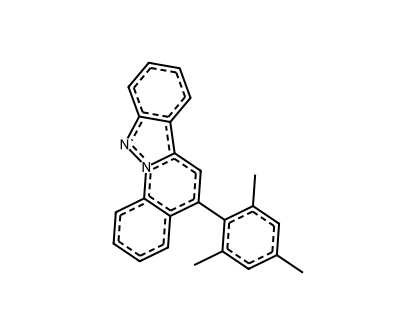 Cc1cc(C)c(-c2cc3c4ccccc4nn3c3ccccc23)c(C)c1